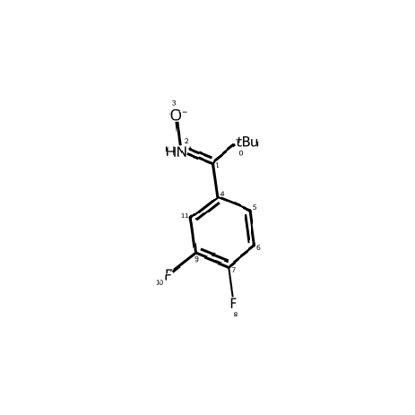 CC(C)(C)C(=[NH+][O-])c1ccc(F)c(F)c1